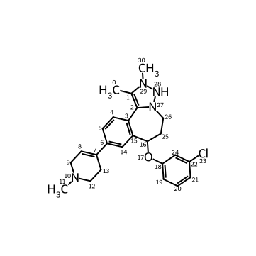 CC1=C2c3ccc(C4=CCN(C)CC4)cc3C(Oc3cccc(Cl)c3)CCN2NN1C